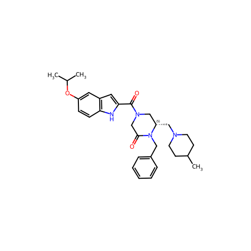 CC1CCN(C[C@H]2CN(C(=O)c3cc4cc(OC(C)C)ccc4[nH]3)CC(=O)N2Cc2ccccc2)CC1